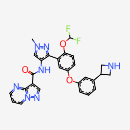 Cn1cc(NC(=O)c2cnn3cccnc23)c(-c2cc(Oc3cccc(C4CNC4)c3)ccc2OC(F)F)n1